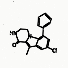 Cc1c2n(c3c(-c4ccccc4)cc(Cl)cc13)CCNC2=O